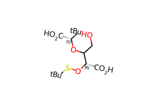 CC(C)(C)SO[C@@H](C(=O)O)C(CO)O[C@H](C(=O)O)C(C)(C)C